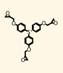 c1cc([S+](c2ccc(OCC3CO3)cc2)c2ccc(OCC3CO3)cc2)ccc1OCC1CO1